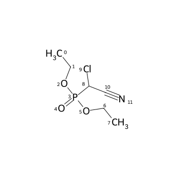 CCOP(=O)(OCC)C(Cl)C#N